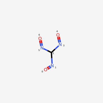 O=NC(N=O)N=O